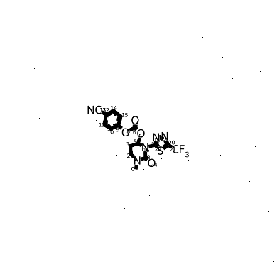 CN1CCC(OC(=O)Oc2ccc(C#N)cc2)N(c2nnc(C(F)(F)F)s2)C1=O